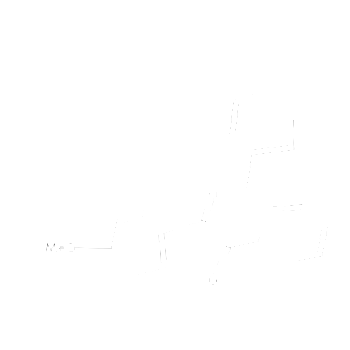 COc1ccc(C(=O)C(=O)c2ccccc2Cc2ccccc2)cc1